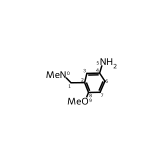 CNCc1cc(N)ccc1OC